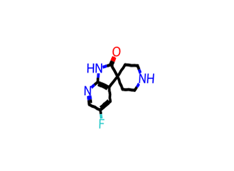 O=C1Nc2ncc(F)cc2C12CCNCC2